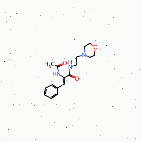 CC(=O)N/C(=C\c1ccccc1)C(=O)NCCN1CCOCC1